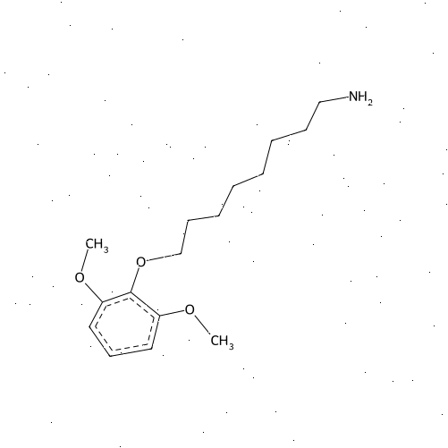 COc1cccc(OC)c1OCCCCCCCCN